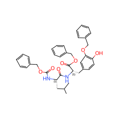 CC(C)C[C@H](NC(=O)OCc1ccccc1)C(=O)N[C@@H](Cc1ccc(O)c(OCc2ccccc2)c1)C(=O)OCc1ccccc1